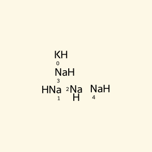 [KH].[NaH].[NaH].[NaH].[NaH]